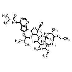 CCOC(=O)[C@H](C)NP(=O)(N[C@@H](C)C(=O)OC)OC[C@@]1(C#N)O[C@@H](c2ccc3c(NC(=O)C(C)C)ncnn23)[C@H](OC(=O)C(C)C)[C@@H]1OC(=O)C(C)C